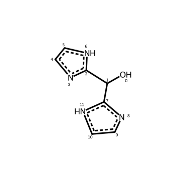 OC(c1ncc[nH]1)c1ncc[nH]1